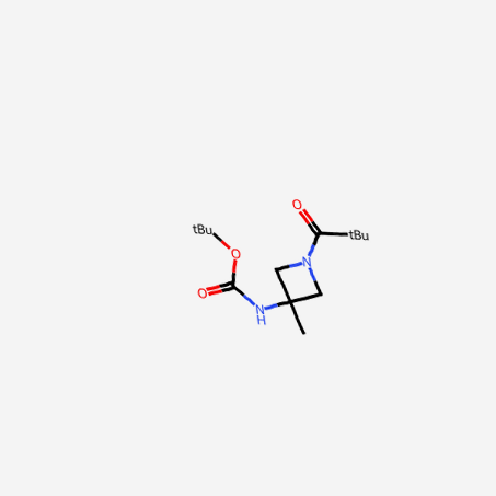 CC1(NC(=O)OC(C)(C)C)CN(C(=O)C(C)(C)C)C1